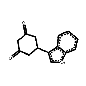 O=C1CC(=O)CC(c2c[nH]c3ccccc23)C1